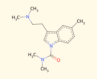 Cc1ccc2c(c1)c(CCN(C)C)cn2C(=O)N(C)C